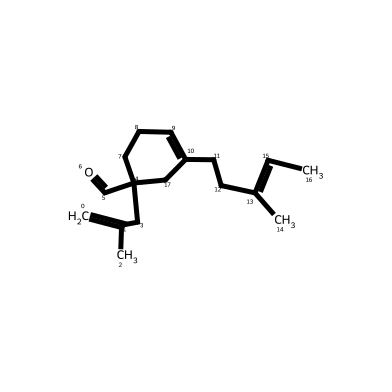 C=C(C)CC1(C=O)CCC=C(CCC(C)=CC)C1